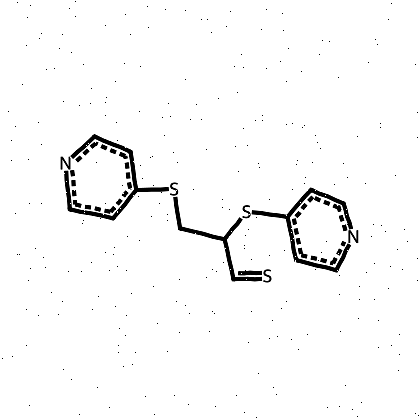 S=CC(CSc1ccncc1)Sc1ccncc1